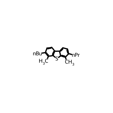 CCCCc1ccc2c(sc3c(C)c(CCC)ccc32)c1C